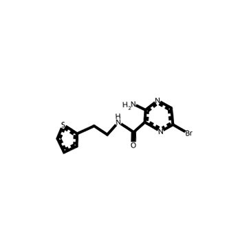 Nc1ncc(Br)nc1C(=O)NCCc1cccs1